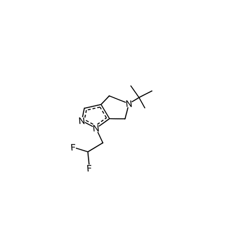 CC(C)(C)N1Cc2cnn(CC(F)F)c2C1